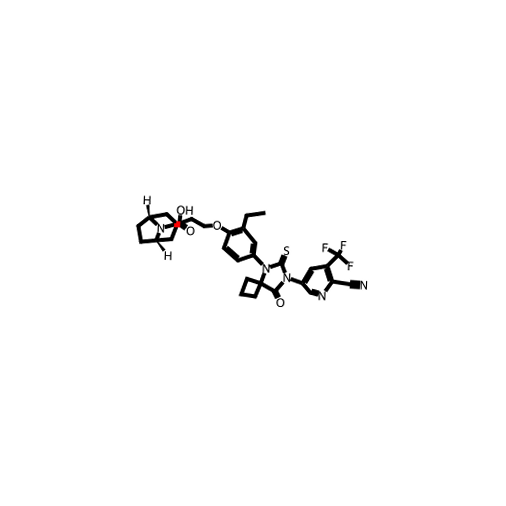 CCc1cc(N2C(=S)N(c3cnc(C#N)c(C(F)(F)F)c3)C(=O)C23CCC3)ccc1OCCC1C[C@H]2CC[C@@H](C1)N2C(=O)O